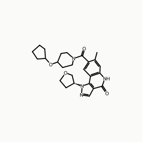 Cc1cc2[nH]c(=O)c3cnn([C@H]4CCOC4)c3c2cc1C(=O)N1CCC(OC2CCCC2)CC1